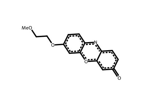 COCCOc1ccc2nc3ccc(=O)cc-3oc2c1